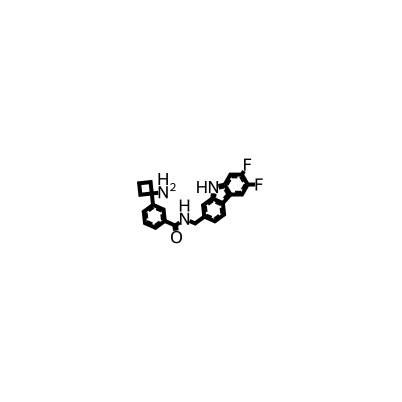 NC1(c2cccc(C(=O)NCc3ccc4c(c3)[nH]c3cc(F)c(F)cc34)c2)CCC1